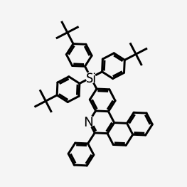 CC(C)(C)c1ccc([Si](c2ccc(C(C)(C)C)cc2)(c2ccc(C(C)(C)C)cc2)c2ccc3c(c2)nc(-c2ccccc2)c2ccc4ccccc4c23)cc1